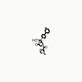 C=N/C=C(\N=C/C)C(=O)N1CC(=O)N2C(C1)[C@H](c1ccc(-c3cccc(C)c3)cc1)[C@H]2CO